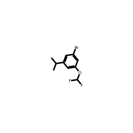 [CH2]C(C)c1cc(Br)cc(OC(F)F)c1